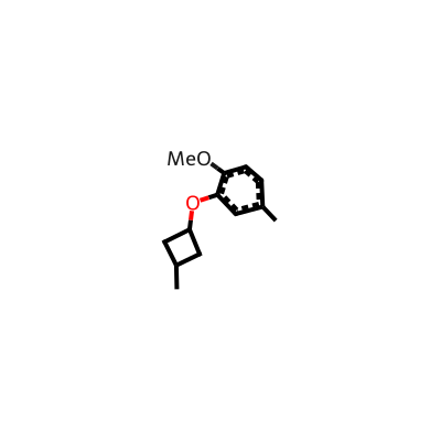 COc1ccc(C)cc1OC1CC(C)C1